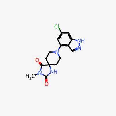 CN1C(=O)NC2(CCN(c3cc(Cl)cc4[nH]ncc34)CC2)C1=O